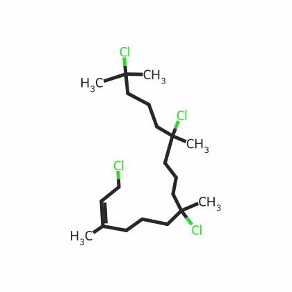 CC(=CCCl)CCCC(C)(Cl)CCCC(C)(Cl)CCCC(C)(C)Cl